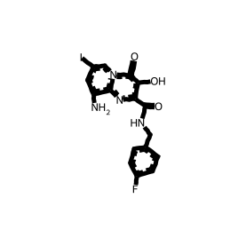 Nc1cc(I)cn2c(=O)c(O)c(C(=O)NCc3ccc(F)cc3)nc12